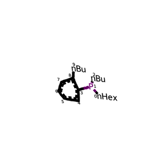 CCCCCCP(CCCC)c1ccccc1CCCC